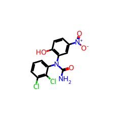 NC(=O)N(c1cc([N+](=O)[O-])ccc1O)c1cccc(Cl)c1Cl